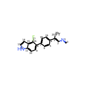 C=N/C=C(/c1ccc(-c2ccc3[nH]ccc3c2F)cc1)C(C)C